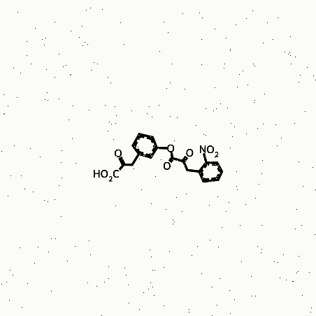 O=C(O)C(=O)Cc1cccc(OC(=O)C(=O)Cc2ccccc2[N+](=O)[O-])c1